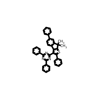 CC1(C)c2cc(-c3ccccc3)ccc2-c2c1sc(-c1ccccc1)c2-c1nc(-c2ccccc2)nc(-c2ccccc2)n1